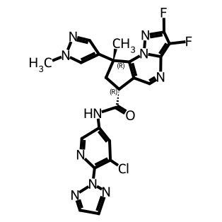 Cn1cc([C@@]2(C)C[C@@H](C(=O)Nc3cnc(-n4nccn4)c(Cl)c3)c3cnc4c(F)c(F)nn4c32)cn1